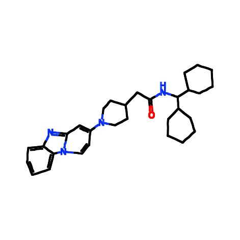 O=C(CC1CCN(c2ccn3c(c2)nc2ccccc23)CC1)NC(C1CCCCC1)C1CCCCC1